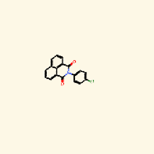 O=C1c2cccc3cccc(c23)C(=O)N1c1ccc(Cl)cc1